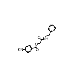 [C-]#[N+]c1ccc(C(=O)OCC(=O)NCCc2ccccc2)cc1